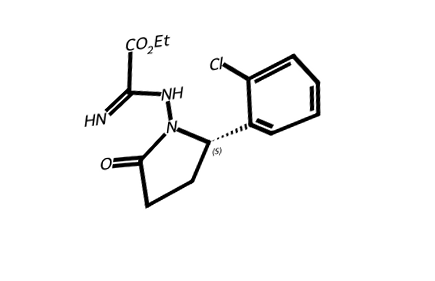 CCOC(=O)C(=N)NN1C(=O)CC[C@H]1c1ccccc1Cl